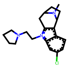 CN1C2CCC1c1c(n(CCN3CCCC3)c3cc(Cl)ccc13)C2